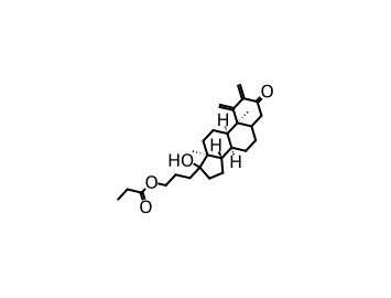 C=C1C(=C)[C@@]2(C)C(CC[C@@H]3[C@H]2CC[C@@]2(C)[C@H]3CCC2(O)CCCOC(=O)CC)CC1=O